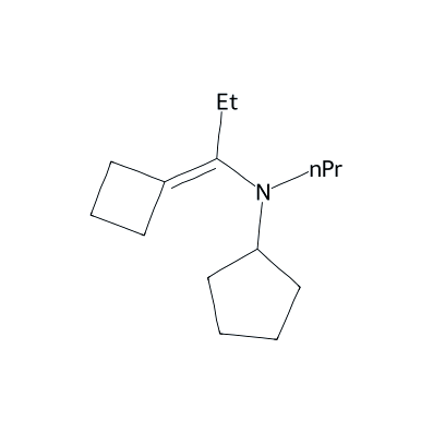 CCCN(C(CC)=C1CCC1)C1CCCC1